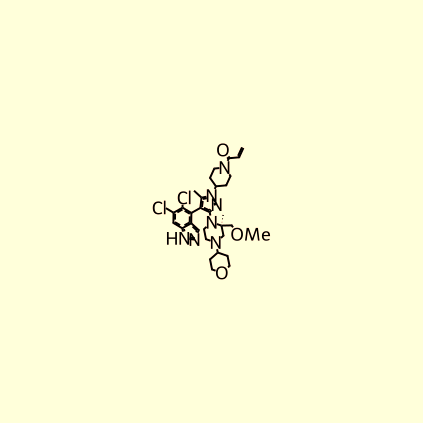 C=CC(=O)N1CCC(n2nc(N3CCN(C4CCOCC4)C[C@]3(C)COC)c(-c3c(Cl)c(Cl)cc4[nH]ncc34)c2C)CC1